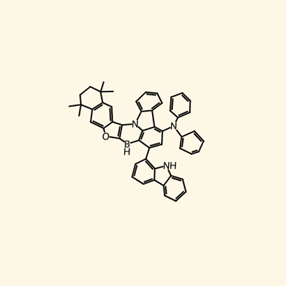 CC1(C)CCC(C)(C)c2cc3c4c(oc3cc21)Bc1c(-c2cccc3c2[nH]c2ccccc23)cc(N(c2ccccc2)c2ccccc2)c2c3ccccc3n-4c12